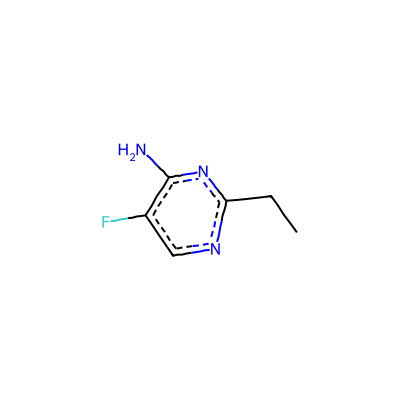 CCc1ncc(F)c(N)n1